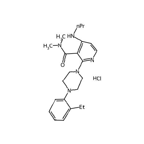 CCCNc1ccnc(N2CCN(c3ccccc3CC)CC2)c1C(=O)N(C)C.Cl